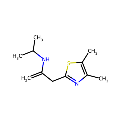 C=C(Cc1nc(C)c(C)s1)NC(C)C